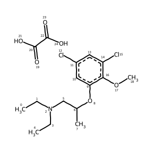 CCN(CC)CC(C)Oc1cc(Cl)cc(Cl)c1OC.O=C(O)C(=O)O